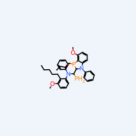 CCCCCc1c(OC)cccc1N(c1ccccc1)C(P)C1N(c2ccccc2)c2cccc(OC)c2P1CCCC